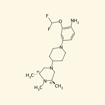 C[C@@H]1CN(C2CCN(c3ccc(N)c(OC(F)F)c3)CC2)C[C@@H](C)N1C